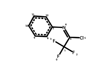 FC(F)(F)/C(Cl)=N\c1ccccc1